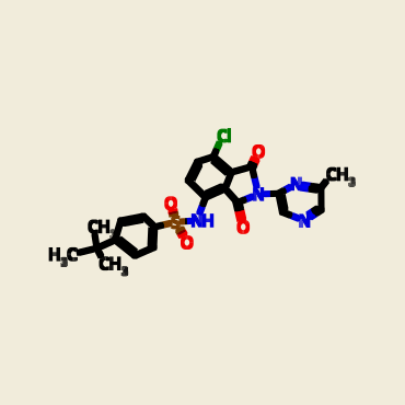 Cc1cncc(N2C(=O)c3c(Cl)ccc(NS(=O)(=O)c4ccc(C(C)(C)C)cc4)c3C2=O)n1